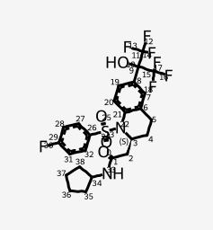 O=C(C[C@@H]1CCc2cc(C(O)(C(F)(F)F)C(F)(F)F)ccc2N1S(=O)(=O)c1ccc(F)cc1)NC1CCCC1